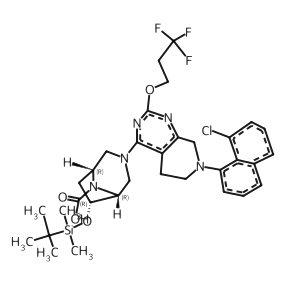 CC(C)(C)[Si](C)(C)O[C@@H]1C[C@@H]2CN(c3nc(OCCC(F)(F)F)nc4c3CCN(c3cccc5cccc(Cl)c35)C4)C[C@H]1N2C(=O)O